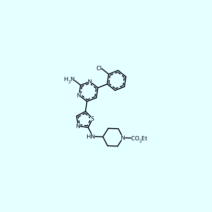 CCOC(=O)N1CCC(Nc2ncc(-c3cc(-c4ccccc4Cl)nc(N)n3)s2)CC1